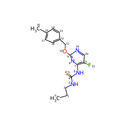 CCCNC(=S)Nc1nc(OCc2ccc(C)cc2)ncc1F